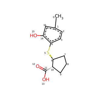 Cc1ccc(S[C@H]2CCC[C@@H]2C(=O)O)c(O)c1